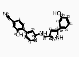 Cc1cc(C#N)ccc1-c1ccnc(NCc2cc(-c3cccc(O)c3)[nH]n2)c1